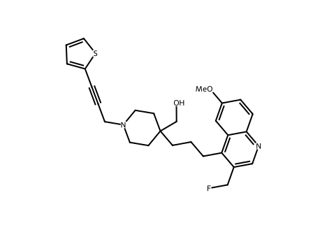 COc1ccc2ncc(CF)c(CCCC3(CO)CCN(CC#Cc4cccs4)CC3)c2c1